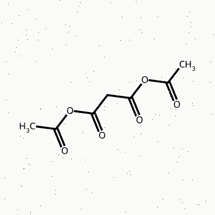 CC(=O)OC(=O)CC(=O)OC(C)=O